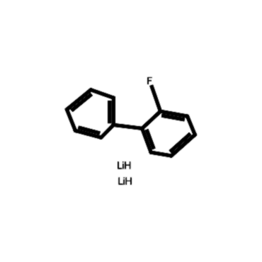 Fc1ccccc1-c1ccccc1.[LiH].[LiH]